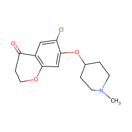 CN1CCC(Oc2cc3c(cc2Cl)C(=O)CCO3)CC1